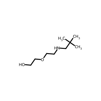 CC(C)(C)CNCCOCCO